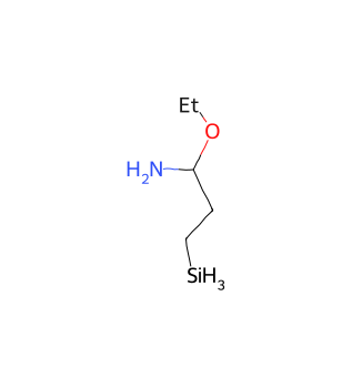 CCOC(N)CC[SiH3]